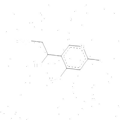 CCOC(=O)CC(O)c1cnc(Cl)cc1OC